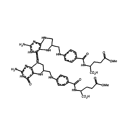 COC(=O)CCC(NC(=O)c1ccc(NCC2CNc3nc(N)[nH]c(=O)c3N2)cc1)C(=O)O.COC(=O)CCC(NC(=O)c1ccc(NCC2CNc3nc(N)[nH]c(=O)c3N2)cc1)C(=O)O